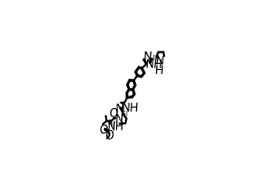 COC(=O)N[C@H](C(=O)N1CCC[C@H]1C1=NCC(c2ccc3cc(-c4ccc(-c5cnc([C@@H]6CCCN6)[nH]5)cc4)ccc3c2)N1)C(C)C